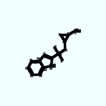 CC(C)(CC1CC1C(C)(C)C)c1cc2ccccc2[nH]1